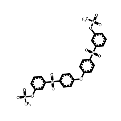 O=S(=O)(c1ccc(Oc2ccc(S(=O)(=O)c3cccc(OS(=O)(=O)C(F)(F)F)c3)cc2)cc1)c1cccc(OS(=O)(=O)C(F)(F)F)c1